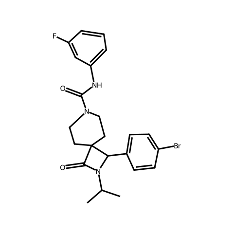 CC(C)N1C(=O)C2(CCN(C(=O)Nc3cccc(F)c3)CC2)C1c1ccc(Br)cc1